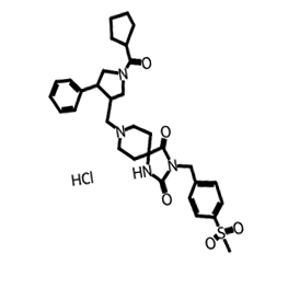 CS(=O)(=O)c1ccc(CN2C(=O)NC3(CCN(CC4CN(C(=O)C5CCCC5)CC4c4ccccc4)CC3)C2=O)cc1.Cl